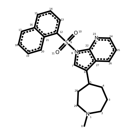 CN1CCCC(c2cn(S(=O)(=O)c3cccc4ccccc34)c3ncccc23)CC1